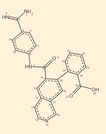 N=C(N)c1ccc(NC(=O)c2cc3ccncc3cc2-c2ccccc2C(=O)O)cc1